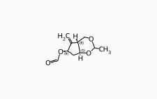 C=C1[C@H](OC=O)C[C@@H]2OC(C)OC[C@@H]12